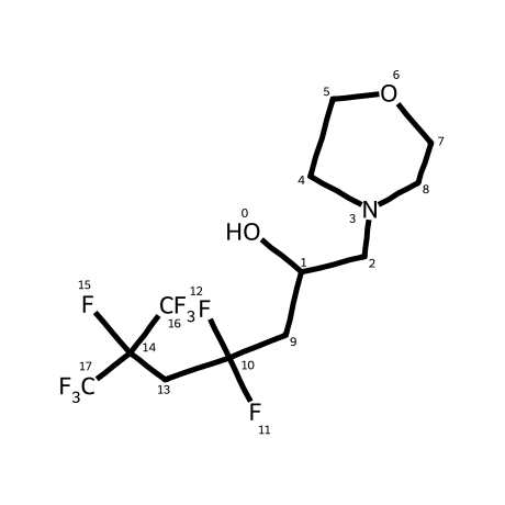 OC(CN1CCOCC1)CC(F)(F)CC(F)(C(F)(F)F)C(F)(F)F